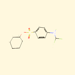 O=S(=O)(OC1CCCCC1)c1ccc(N(F)C(F)F)cc1